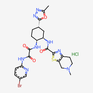 Cc1nnc([C@H]2CC[C@H](NC(=O)C(=O)Nc3ccc(Br)cn3)[C@H](NC(=O)c3nc4c(s3)CN(C)CC4)C2)o1.Cl